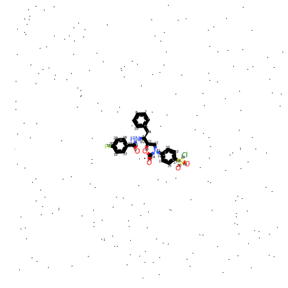 O=C(N[C@@H](Cc1ccccc1)C1CN(c2ccc(S(=O)(=O)Cl)cc2)C(=O)O1)c1ccc(F)cc1